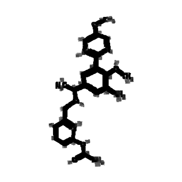 COc1cnc(-c2cc(C(C)OCc3cccc(OC(N)=O)n3)cc(N)c2OC)nc1